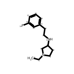 CCN1CCC(NCCc2cccc(F)c2)C1